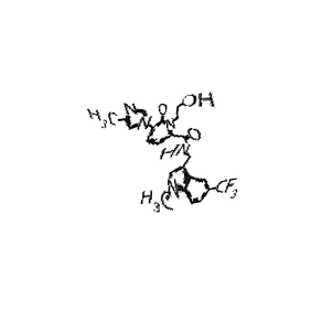 Cc1cn(-c2ccc(C(=O)NCc3cn(C)c4ccc(C(F)(F)F)cc34)n(CCO)c2=O)cn1